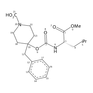 COC(=O)[C@H](CC(C)C)NC(=O)OC1(Cc2ccccc2)CCN(C(=O)O)CC1